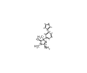 CN1C(=O)C(C)(c2cccc(-c3ccsc3)c2)N=C1N